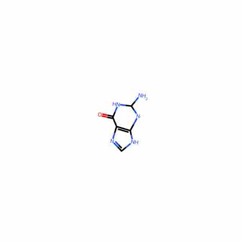 NC1[N]c2[nH]cnc2C(=O)N1